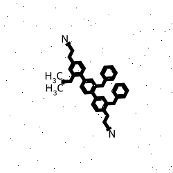 CC(C)Cc1cc(CCC#N)ccc1-c1ccc(-c2ccc(CCC#N)c(Cc3ccccc3)c2)c(Cc2ccccc2)c1